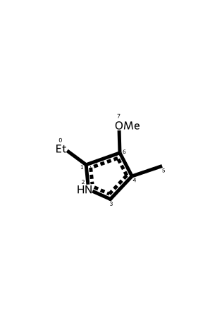 CCc1[nH]cc(C)c1OC